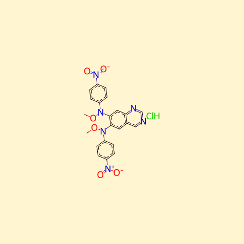 CON(c1ccc([N+](=O)[O-])cc1)c1cc2cncnc2cc1N(OC)c1ccc([N+](=O)[O-])cc1.Cl